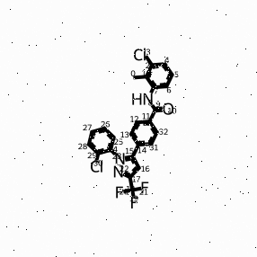 Cc1c(Cl)cccc1NC(=O)c1ccc(-c2cc(C(F)(F)F)nn2-c2ccccc2Cl)cc1